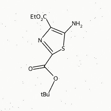 CCOC(=O)c1nc(C(=O)OC(C)(C)C)sc1N